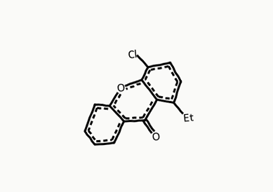 CCc1ccc(Cl)c2oc3ccccc3c(=O)c12